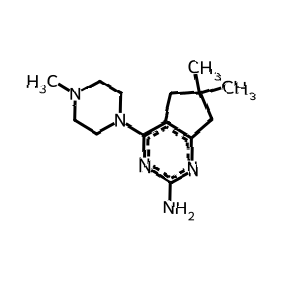 CN1CCN(c2nc(N)nc3c2CC(C)(C)C3)CC1